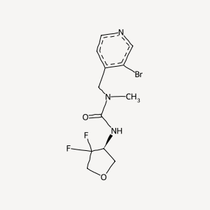 CN(Cc1ccncc1Br)C(=O)N[C@H]1COCC1(F)F